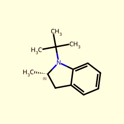 C[C@H]1Cc2ccccc2N1C(C)(C)C